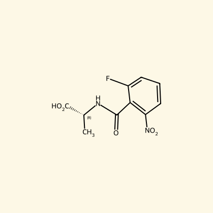 C[C@@H](NC(=O)c1c(F)cccc1[N+](=O)[O-])C(=O)O